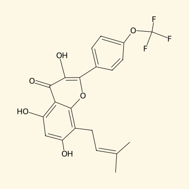 CC(C)=CCc1c(O)cc(O)c2c(=O)c(O)c(-c3ccc(OC(F)(F)F)cc3)oc12